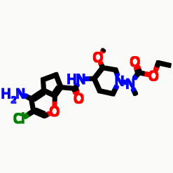 CCOC(=O)N(C)N1CCC(NC(=O)C2=C3OC=C(Cl)C(N)=C3CC2)C(OC)C1